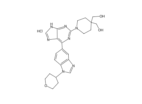 Cl.OCC1(CO)CCN(c2nc(-c3ccc4c(c3)ncn4C3CCOCC3)c3nc[nH]c3n2)CC1